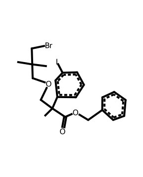 CC(C)(CBr)COCC(C)(C(=O)OCc1ccccc1)c1cccc(I)c1